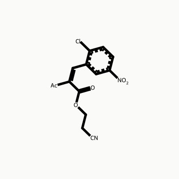 CC(=O)/C(=C/c1cc([N+](=O)[O-])ccc1Cl)C(=O)OCCC#N